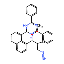 C=C/C=C(/c1cccc2cccc(C3N=C(c4ccccc4)N=C(c4ccccc4)N3)c12)C(C)CN=N